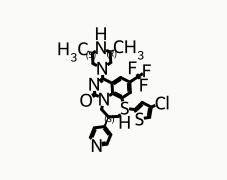 C[C@@H]1CN(c2nc(=O)n3c4c(cc(C(F)(F)F)cc24)[SH](c2cc(Cl)cs2)C[C@@H](c2ccncc2)C3)C[C@H](C)N1